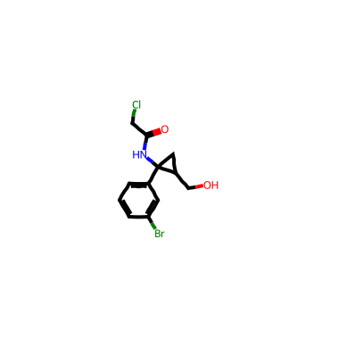 O=C(CCl)NC1(c2cccc(Br)c2)CC1CO